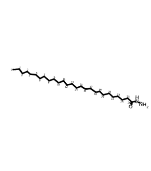 CCCCCCCCCCCCCCCCCCCCCCCCCCC(=O)NN